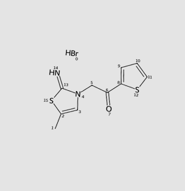 Br.Cc1cn(CC(=O)c2cccs2)c(=N)s1